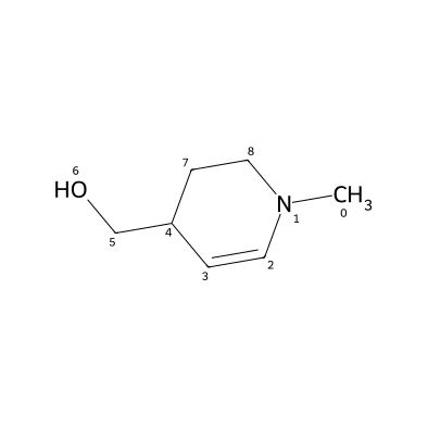 CN1C=CC(CO)CC1